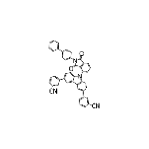 N#Cc1cccc(-c2ccc3c(c2)c2cc(-c4cccc(C#N)c4)ccc2n3-c2cccc3c2C(=O)N(c2ccc(-c4ccccc4)cc2)C3=O)c1